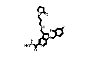 O=C(NO)c1cc2c(CNCCCN3CCCC3=O)cn(Cc3ccc(F)cc3F)c2cn1